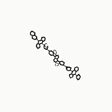 c1ccc(-c2c3ccccc3c(-c3ccc(-c4ccc5c(c4)oc4ccc6c(ccc7oc8cc(-c9ccc(-c%10c%11ccccc%11c(-c%11ccc%12ccccc%12c%11)c%11ccccc%10%11)cc9)ccc8c76)c45)cc3)c3ccccc23)cc1